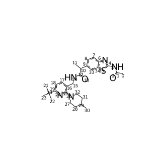 CC(=O)Nc1nc2ccc(C(C)C(=O)NCc3ccc(C(C)(C)C)nc3N3CCC(C)CC3)cc2s1